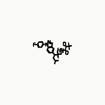 CC(C)CC(c1ccc2c(cnn2-c2ccc(F)cc2)c1)C(C)(C)CNC(=O)C(=O)C(C)(C)C